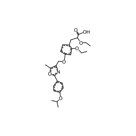 CCOc1cc(OCc2nc(-c3ccc(OC(C)C)cc3)oc2C)ccc1CC(OCC)C(=O)O